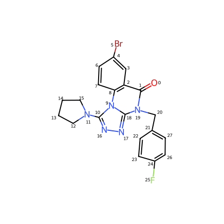 O=c1c2cc(Br)ccc2n2c(N3CCCC3)nnc2n1Cc1ccc(F)cc1